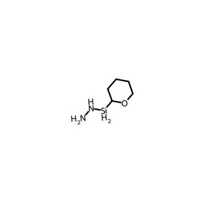 NN[SiH2]C1CCCCO1